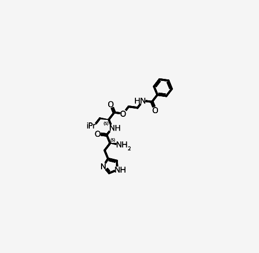 CC(C)C[C@H](NC(=O)[C@@H](N)Cc1c[nH]cn1)C(=O)OCCNC(=O)c1ccccc1